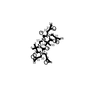 CC1(C)C(=O)[N+](CC2CO2)(CC2CO2)C(=O)N1CN1C(=O)[N+](CC2CO2)(CC2CO2)C(=O)C1(C)C